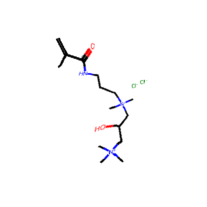 C=C(C)C(=O)NCCC[N+](C)(C)CC(O)C[N+](C)(C)C.[Cl-].[Cl-]